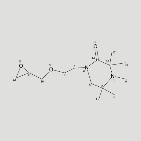 CN1C(C)(C)CN(CCOCC2CO2)C(=O)C1(C)C